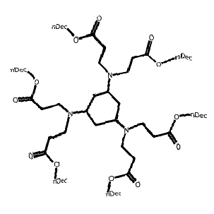 CCCCCCCCCCOC(=O)CCN(CCC(=O)OCCCCCCCCCC)C1CC(N(CCC(=O)OCCCCCCCCCC)CCC(=O)OCCCCCCCCCC)CC(N(CCC(=O)OCCCCCCCCCC)CCC(=O)OCCCCCCCCCC)C1